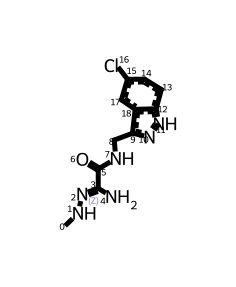 CN/N=C(\N)C(=O)NCc1n[nH]c2ccc(Cl)cc12